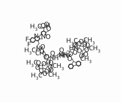 CC[C@@]1(O)C(=O)OCc2c1cc1n(c2=O)Cc2c-1nc1cc(F)c(F)cc1c2CCN(C(=O)OCc1ccc(O[C@@H]2O[C@H](C(=O)OC)[C@@H](OC(C)=O)[C@H](OC(C)=O)[C@H]2OC(C)=O)c(NC(=O)CCNC(=O)[C@H](CCCC(=O)N[C@@H]2O[C@H](C(=O)OC)[C@@H](OC(C)=O)[C@H](OC(C)=O)[C@H]2OC(C)=O)NC(=O)OCC2c3ccccc3-c3ccccc32)c1)C(C)C